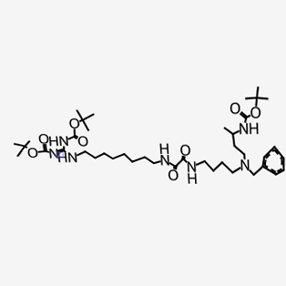 CC(CCN(CCCCNC(=O)C(=O)NCCCCCCCCN/C(=N/C(=O)OC(C)(C)C)NC(=O)OC(C)(C)C)Cc1ccccc1)NC(=O)OC(C)(C)C